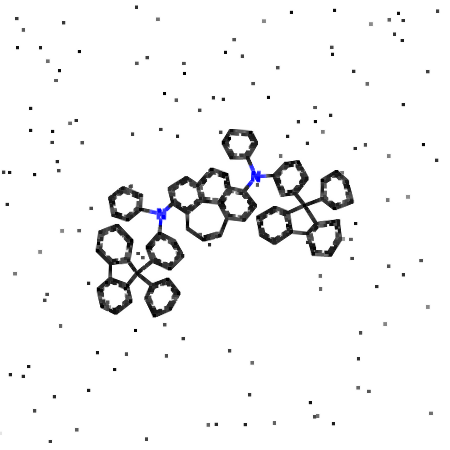 C1=Cc2ccc(N(c3ccccc3)c3cccc(C4(c5ccccc5)c5ccccc5-c5ccccc54)c3)c3ccc4ccc(N(c5ccccc5)c5cccc(C6(c7ccccc7)c7ccccc7-c7ccccc76)c5)c(c4c23)C1